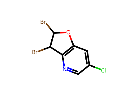 Clc1cnc2c(c1)OC(Br)C2Br